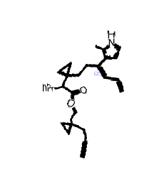 C#CCC1(COC(=O)C(CCC)C2(CC/C(=C/C=C)c3cc[nH]c3C)CC2)CC1